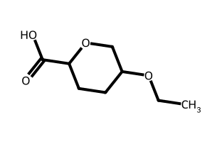 CCOC1CCC(C(=O)O)OC1